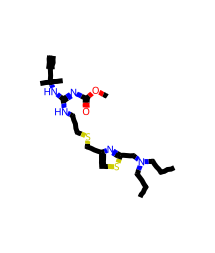 C#CC(C)(C)NC(=NC(=O)OC)NCCSCc1csc(CN(CCC)CCC)n1